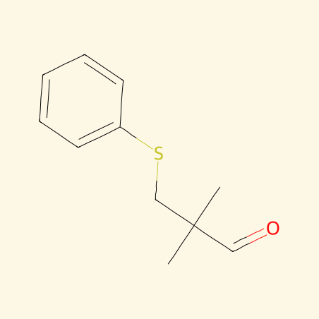 CC(C)(C=O)CSc1ccccc1